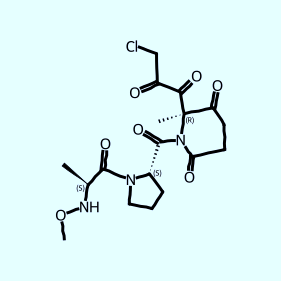 CON[C@@H](C)C(=O)N1CCC[C@H]1C(=O)N1C(=O)CCC(=O)[C@]1(C)C(=O)C(=O)CCl